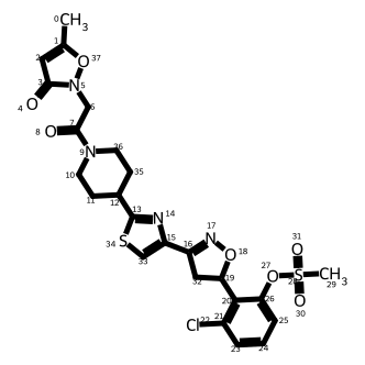 Cc1cc(=O)n(CC(=O)N2CCC(c3nc(C4=NOC(c5c(Cl)cccc5OS(C)(=O)=O)C4)cs3)CC2)o1